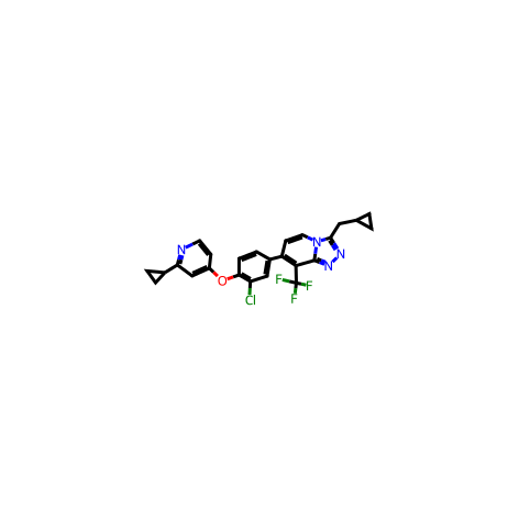 FC(F)(F)c1c(-c2ccc(Oc3ccnc(C4CC4)c3)c(Cl)c2)ccn2c(CC3CC3)nnc12